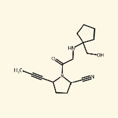 CC#CC1CCC(C#N)N1C(=O)CNC1(CO)CCCC1